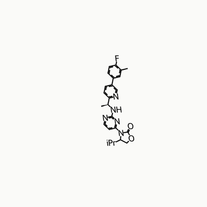 Cc1cc(-c2ccc([C@H](C)Nc3nccc(N4C(=O)OCC4C(C)C)n3)nc2)ccc1F